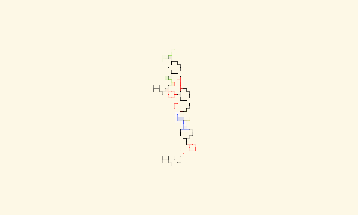 CCOC(=O)C1CCN(C2=NC(=O)/C(=C\c3ccc(OCc4ccc(C(F)(F)F)cc4C(F)(F)F)c(OC)c3)S2)CC1